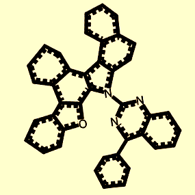 c1ccc(-c2nc(-n3c4ccc5ccccc5c4c4c5ccccc5c5c6ccccc6oc5c43)nc3ccccc23)cc1